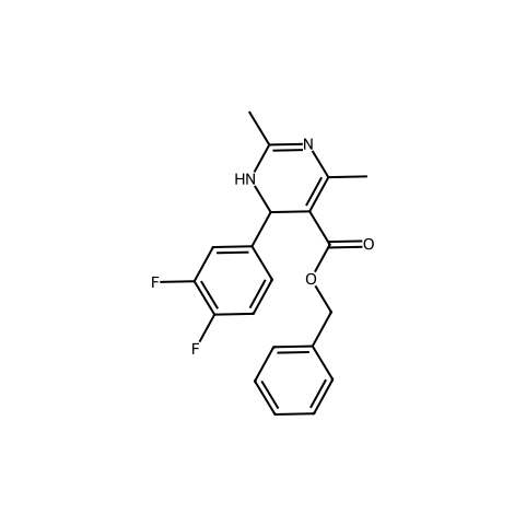 CC1=NC(C)=C(C(=O)OCc2ccccc2)C(c2ccc(F)c(F)c2)N1